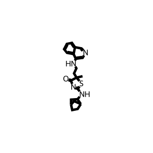 CC1(CCNc2cncc3ccccc23)SC(NC2CC3CCC2C3)=NC1=O